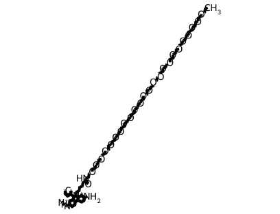 CCCOCCOCCOCCOCCOCCOCCOCCOCCOCCOCCOCCOCCOCCOCCOCCOCCOCCOCCOCCOCCOCCOCCOCCOCCNC(=O)CCCCC[n+]1c(-c2ccccc2)c2cc(N=[N+]=[N-])ccc2c2ccc(N)cc21